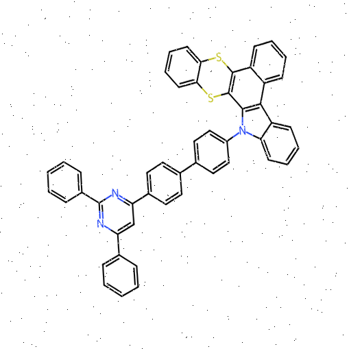 c1ccc(-c2cc(-c3ccc(-c4ccc(-n5c6ccccc6c6c7ccccc7c7c(c65)Sc5ccccc5S7)cc4)cc3)nc(-c3ccccc3)n2)cc1